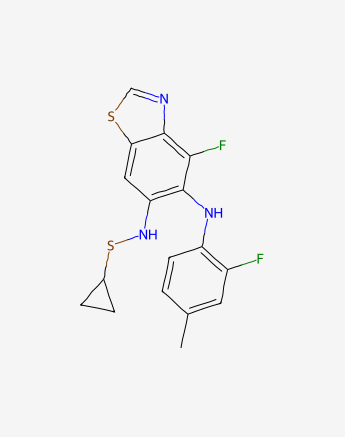 Cc1ccc(Nc2c(NSC3CC3)cc3scnc3c2F)c(F)c1